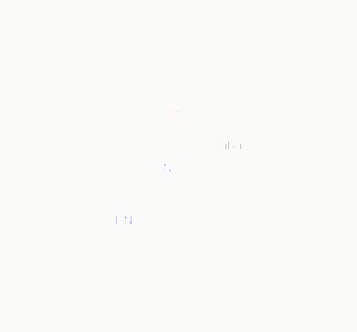 CC(C)COC(=O)N1CCNCC1